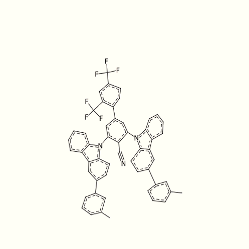 Cc1cccc(-c2ccc3c(c2)c2ccccc2n3-c2cc(-c3ccc(C(F)(F)F)cc3C(F)(F)F)cc(-n3c4ccccc4c4cc(-c5cccc(C)c5)ccc43)c2C#N)c1